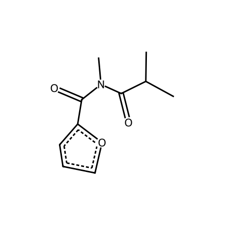 CC(C)C(=O)N(C)C(=O)c1ccco1